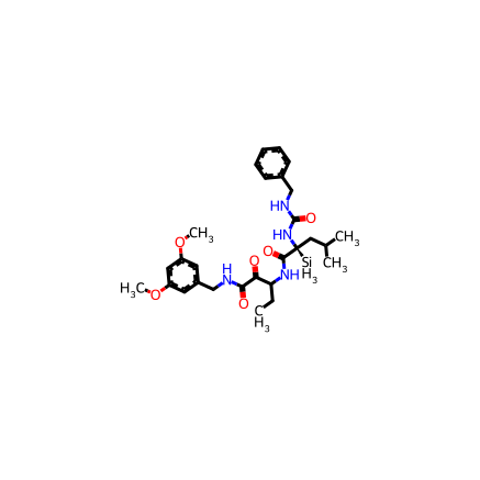 CCC(NC(=O)[C@@]([SiH3])(CC(C)C)NC(=O)NCc1ccccc1)C(=O)C(=O)NCc1cc(OC)cc(OC)c1